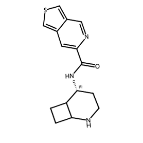 O=C(N[C@@H]1CCNC2CCC21)c1cc2cscc2cn1